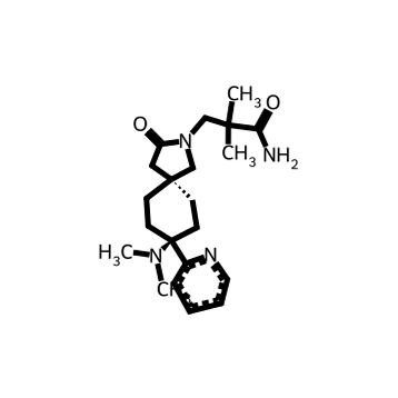 CN(C)[C@]1(c2ccccn2)CC[C@]2(CC1)CC(=O)N(CC(C)(C)C(N)=O)C2